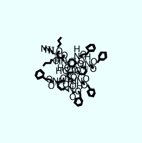 CCCCO[C@H](CN=[N+]=[N-])[C@@H](OCCCC)C(=O)N[C@@H]1C[C@H](NC(=O)OCc2ccccc2)[C@@H](O[C@H]2O[C@H](CNC(=O)OCc3ccccc3)C=C[C@H]2NC(=O)OCc2ccccc2)[C@H](O[C@@H]2O[C@H](CO)[C@@H](O[C@H]3O[C@@H](CNC(=O)OCc4ccccc4)C=C[C@H]3NC(=O)OCc3ccccc3)[C@H]2O)[C@H]1O